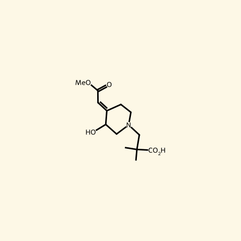 COC(=O)C=C1CCN(CC(C)(C)C(=O)O)CC1O